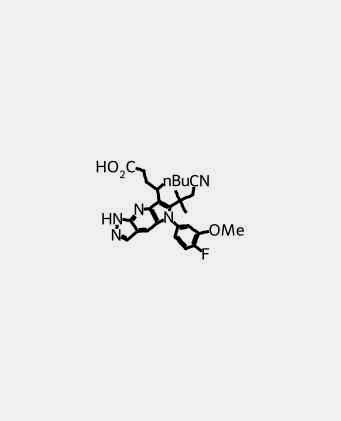 CCCCC(CCC(=O)O)c1c(C(C)(C)CC#N)n(-c2ccc(F)c(OC)c2)c2cc3cn[nH]c3nc12